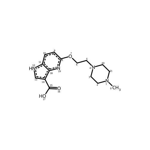 CN1CCN(CCOc2ccc3[nH]cc(C(=O)O)c3n2)CC1